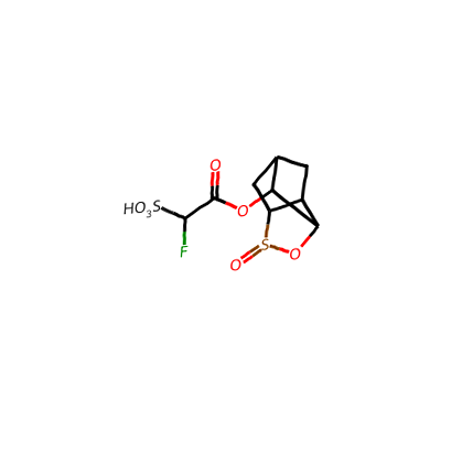 O=C(OC1C2CC3C1OS(=O)C3C2)C(F)S(=O)(=O)O